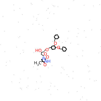 Cc1cn([C@H]2CC(O)[C@@H](COCc3ccc(OCc4ccccc4)c(OCc4ccccc4)c3)O2)c(=O)[nH]c1=O